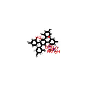 Cc1ccc(-c2c(O)c(-c3ccc(C)cc3C)c(-c3ccc(C)cc3C)c(OP(=O)(O)OP(=O)(O)O)c2-c2ccc(C)cc2C)c(C)c1